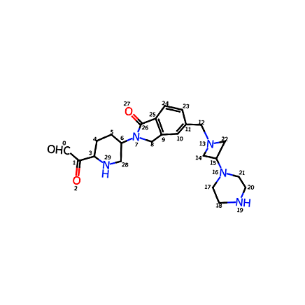 O=CC(=O)C1CCC(N2Cc3cc(CN4CC(N5CCNCC5)C4)ccc3C2=O)CN1